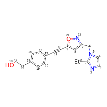 CCc1nccn1Cc1cc(C#Cc2ccc(CCO)cc2)on1